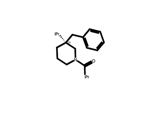 CC(C)C(=O)N1CCC[C@](Cc2ccccc2)(C(C)C)C1